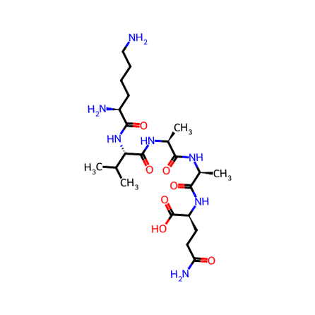 CC(C)[C@H](NC(=O)[C@@H](N)CCCCN)C(=O)N[C@@H](C)C(=O)N[C@@H](C)C(=O)N[C@@H](CCC(N)=O)C(=O)O